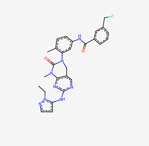 CCn1nccc1Nc1ncc2c(n1)N(C)C(=O)N(c1cc(NC(=O)c3cccc(CF)c3)ccc1C)C2